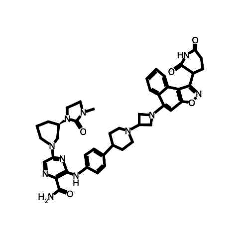 CN1CCN([C@@H]2CCCN(c3cnc(C(N)=O)c(Nc4ccc(C5CCN(C6CN(c7cc8onc(C9CCC(=O)NC9=O)c8c8ccccc78)C6)CC5)cc4)n3)C2)C1=O